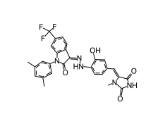 Cc1cc(C)cc(N2C(=O)C(=NNc3ccc(C=C4C(=O)NC(=O)N4C)cc3O)c3ccc(C(F)(F)F)cc32)c1